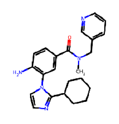 CN(Cc1cccnc1)C(=O)c1ccc(N)c(-n2ccnc2C2CCCCC2)c1